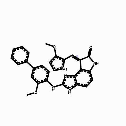 COc1cc(-c2ccccc2)ccc1Nc1nc2c3c(ccc2[nH]1)NC(=O)/C3=C/c1[nH]ccc1OC